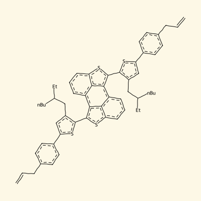 C=CCc1ccc(-c2cc(CC(CC)CCCC)c(-c3sc4cccc5c6c(-c7sc(-c8ccc(CC=C)cc8)cc7CC(CC)CCCC)sc7cccc(c3c45)c76)s2)cc1